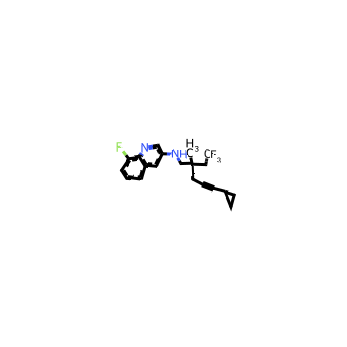 CC(CC#CC1CC1)(CNc1cnc2c(F)cccc2c1)CC(F)(F)F